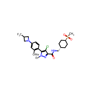 CCn1nc(C(=O)NC[C@H]2CC[C@H](S(C)(=O)=O)CC2)c(Cl)c1-c1ccc(N2CC(C(F)(F)F)C2)cc1OC